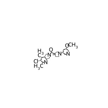 COc1cncc(N2CC[C@@H](C(=O)N3Cc4nc(C)c(Cl)c(C)c4C3)C2)c1